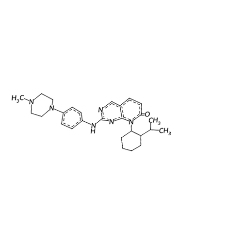 CC(C)C1CCCCC1n1c(=O)ccc2cnc(Nc3ccc(N4CCN(C)CC4)cc3)nc21